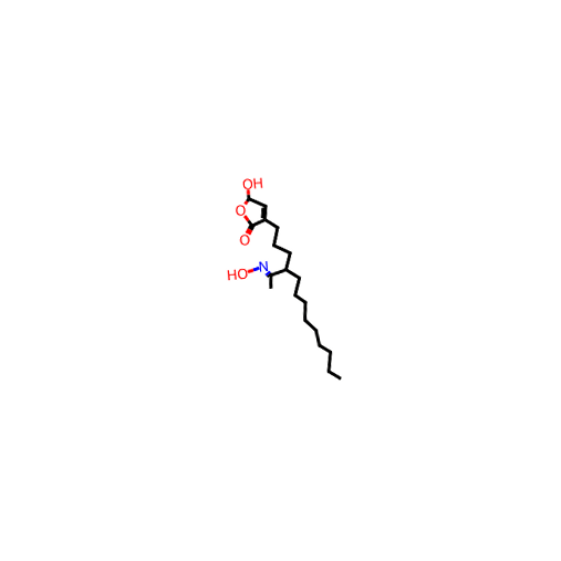 CCCCCCCCCC(CCCC1=CC(O)OC1=O)C(C)=NO